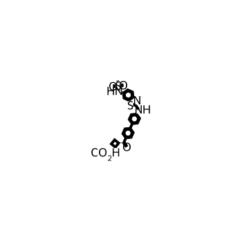 CS(=O)(=O)Nc1ccc2nc(Nc3ccc(-c4ccc(C(=O)[C@H]5CCC5C(=O)O)cc4)cc3)sc2c1